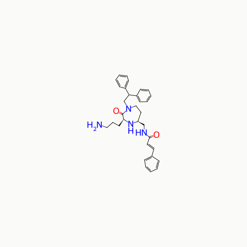 NCCC[C@@H]1N[C@H](CNC(=O)/C=C/c2ccccc2)CCN(CC(c2ccccc2)c2ccccc2)C1=O